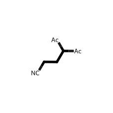 CC(=O)C(CCC#N)C(C)=O